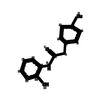 CCC(C)c1ccc(CC(=O)Nc2ccccc2O)cc1